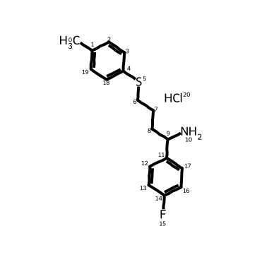 Cc1ccc(SCCCC(N)c2ccc(F)cc2)cc1.Cl